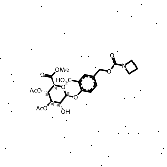 COC(=O)[C@H]1O[C@@H](Oc2ccc(COC(=O)N3CCC3)cc2C(=O)O)[C@H](O)[C@@H](OC(C)=O)[C@@H]1OC(C)=O